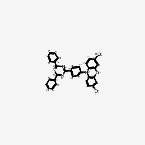 CCc1ccc2c(c1)Oc1cc(CC)ccc1N2c1ccc(-c2nc(-c3ccccc3)nc(-c3ccccc3)n2)cc1